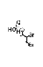 O=[PH](O)OCC(Br)CBr